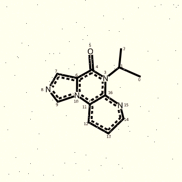 CC(C)n1c(=O)c2cncn2c2cccnc21